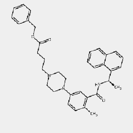 Cc1ccc(N2CCN(CCCC(=O)OCc3ccccc3)CC2)cc1C(=O)N[C@H](C)c1cccc2ccccc12